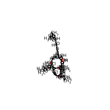 CN[C@H](CC(C)C)C(=O)N[C@H]1C(=O)N[C@@H](CC(N)=O)C(=O)N[C@H]2C(=O)N[C@@H](C(N)=O)c3ccc(O)c(c3)-c3c(O)cc(O)cc3C(C(=O)NCOCCOCCNC(=O)CCC(=O)Nc3ccc(OC)c(C(N)=O)c3O)NC(=O)C[C@H](O)c3ccc(c(Cl)c3)Oc3cc2cc(c3OC2O[C@@H](CO)[C@@H](O)[C@H](O)[C@@H]2O[C@@H]2C[C@](C)(N)[C@H](O)[C@@H](C)O2)Oc2ccc(cc2Cl)[C@H]1O